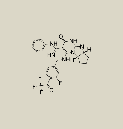 N=C(Nc1ccccc1)C1=C(NCc2ccc(C(=O)C(F)(F)F)c(F)c2)N2C(=N[C@@H]3CCC[C@@H]32)NC1=O